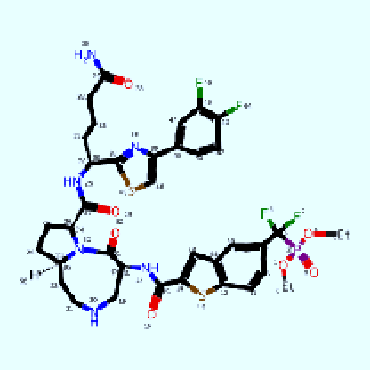 CCOP(=O)(OCC)C(F)(F)c1ccc2sc(C(=O)N[C@H]3CNCC[C@H]4CC[C@@H](C(=O)N[C@@H](CCCC(N)=O)c5nc(-c6ccc(F)c(F)c6)cs5)N4C3=O)cc2c1